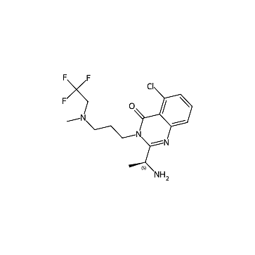 C[C@H](N)c1nc2cccc(Cl)c2c(=O)n1CCCN(C)CC(F)(F)F